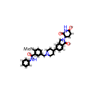 CNc1ccc(CN2CCC(c3ccc4c(c3)CN(C3CCC(=O)NC3=O)C4=O)CC2)cc1C(=O)Nc1ccccc1